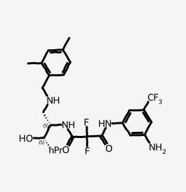 CCC[C@H](O)[C@H](CNCc1ccc(C)cc1C)NC(=O)C(F)(F)C(=O)Nc1cc(N)cc(C(F)(F)F)c1